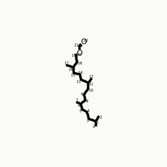 CC(C)CCCC(C)CCCC(C)CCCC(C)CCO[C]=O